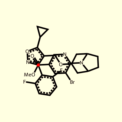 COC(=O)c1cnc(N2C3CCC2CC(OCc2c(-c4c(F)cccc4F)noc2C2CC2)C3)c(Br)c1